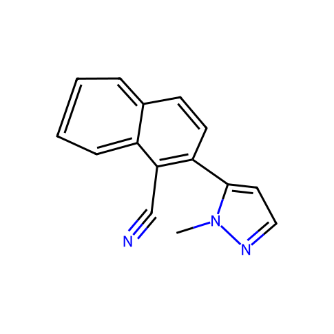 Cn1nccc1-c1ccc2ccccc2c1C#N